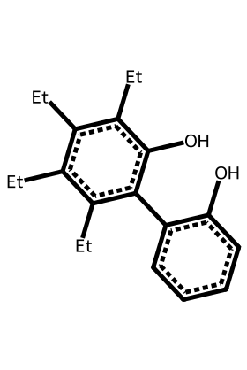 CCc1c(O)c(-c2ccccc2O)c(CC)c(CC)c1CC